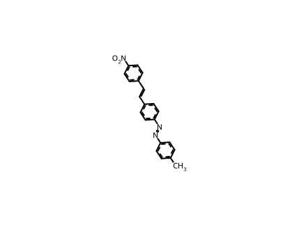 Cc1ccc(/N=N/c2ccc(C=Cc3ccc([N+](=O)[O-])cc3)cc2)cc1